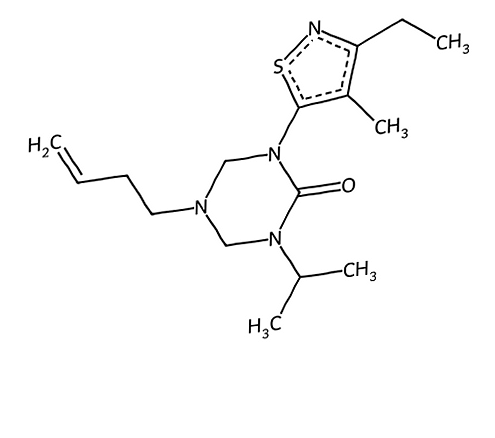 C=CCCN1CN(c2snc(CC)c2C)C(=O)N(C(C)C)C1